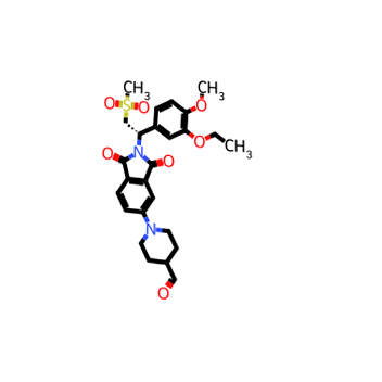 CCOc1cc([C@@H](CS(C)(=O)=O)N2C(=O)c3ccc(N4CCC(C=O)CC4)cc3C2=O)ccc1OC